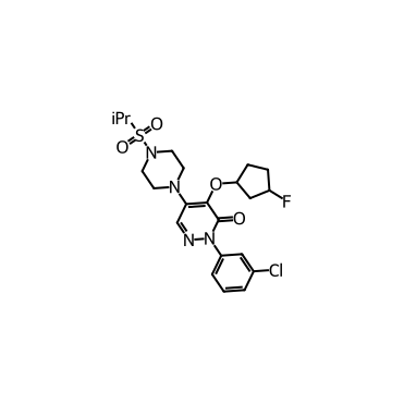 CC(C)S(=O)(=O)N1CCN(c2cnn(-c3cccc(Cl)c3)c(=O)c2OC2CCC(F)C2)CC1